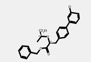 CCOC(=O)[C@H](C)O[C@@H](Cc1ccc(-c2cccc(Cl)c2)cc1)C(=O)OCc1ccccc1